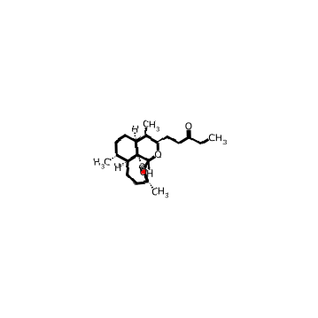 CCC(=O)CC[C@H]1O[C@@H]2O[C@]3(C)CC[C@H]4[C@H](C)CC[C@@H]([C@H]1C)[C@@]24OO3